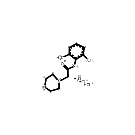 Cc1cccc(C)c1NC(=O)CN1CCNCC1.Cl.Cl.O